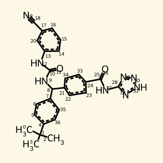 CC(C)(C)c1ccc(C(NC(=O)Nc2cccc(C#N)c2)c2ccc(C(=O)Nc3nn[nH]n3)cc2)cc1